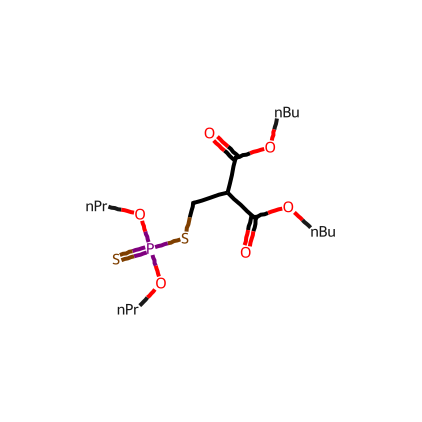 CCCCOC(=O)C(CSP(=S)(OCCC)OCCC)C(=O)OCCCC